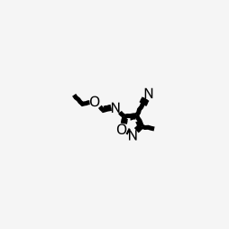 CCOC=Nc1onc(C)c1C#N